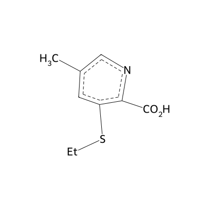 CCSc1cc(C)cnc1C(=O)O